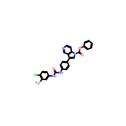 O=C(Nc1ccc(-c2cn(C(=O)Oc3ccccc3)c3ccncc23)cc1)Nc1ccc(Cl)c(C(F)(F)F)c1